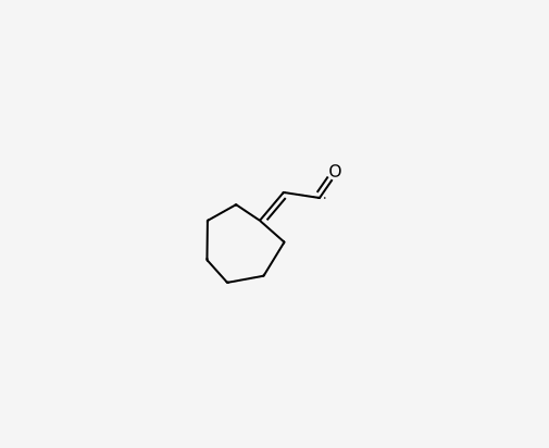 O=[C]C=C1CCCCCC1